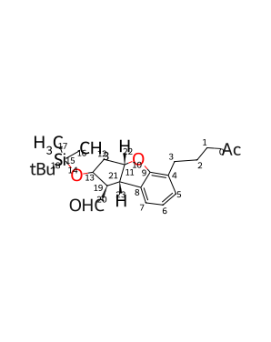 CC(=O)CCCc1cccc2c1O[C@H]1CC(O[Si](C)(C)C(C)(C)C)[C@H](C=O)[C@@H]21